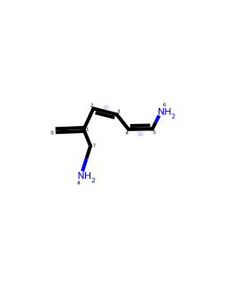 C=C(/C=C\C=C/N)CN